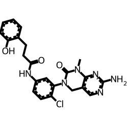 CN1C(=O)N(c2cc(NC(=O)CCc3ccccc3O)ccc2Cl)Cc2cnc(N)nc21